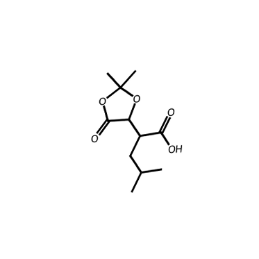 CC(C)CC(C(=O)O)C1OC(C)(C)OC1=O